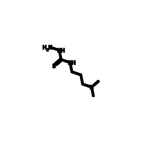 CN(C)CCCNC(=S)NN